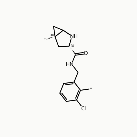 C[C@]12CC1N[C@H](C(=O)NCc1cccc(Cl)c1F)C2